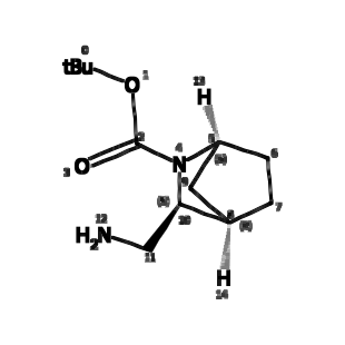 CC(C)(C)OC(=O)N1[C@H]2CC[C@H](C2)[C@H]1CN